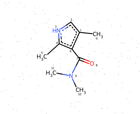 Cc1c[nH]c(C)c1C(=O)N(C)C